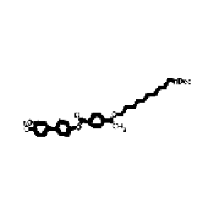 CCCCCCCCCCCCCCCCCCCCOC(C)c1ccc(C(=O)Oc2ccc(-c3ccc(OCCCCCCCC)cc3)cc2)cc1